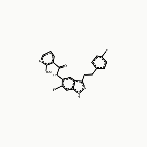 COc1ncccc1C(=O)Nc1cc2c(/C=C/c3ccc(F)cc3)n[nH]c2cc1F